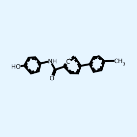 Cc1ccc(-c2ccc(C(=O)Nc3ccc(O)cc3)cc2)cc1